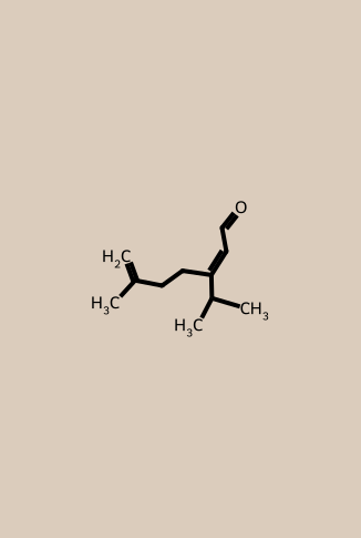 C=C(C)CC/C(=C\C=O)C(C)C